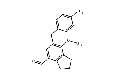 COc1c(Cc2ccc(C)cc2)cc(C=O)c2c1CCC2